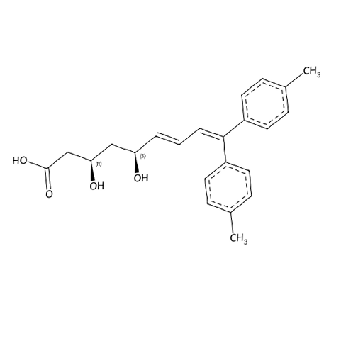 Cc1ccc(C(=CC=C[C@@H](O)C[C@@H](O)CC(=O)O)c2ccc(C)cc2)cc1